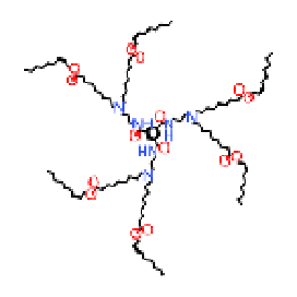 CCCCCC/C=C\COC(=O)CCCCCCCCN(CCCCCCCCC(=O)OC/C=C\CCCCCC)CCCNC(=O)c1cc(C(=O)NCCCN(CCCCCCCCC(=O)OC/C=C\CCCCCC)CCCCCCCCC(=O)OC/C=C\CCCCCC)cc(C(=O)NCCCN(CCCCCCCCC(=O)OC/C=C\CCCCCC)CCCCCCCCC(=O)OC/C=C\CCCCCC)c1